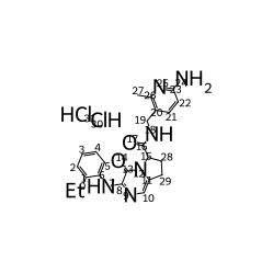 CCc1ccccc1Nc1ncc2n(c1=O)C(C(=O)NCc1ccc(N)nc1C)CC2.Cl.Cl